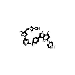 Cc1nn(-c2ccnc(Nc3ccc(-c4csc5c(=O)cc(N6CCNCC6)oc45)cc3)n2)cc1CN1CC(O)C1